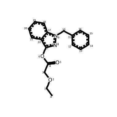 CCOCC(=O)Oc1nn(Cc2ccccc2)c2ccccc12